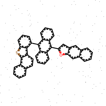 c1ccc2cc3oc(-c4c5ccccc5c(-c5cccc6sc7c8ccccc8ccc7c56)c5ccccc45)cc3cc2c1